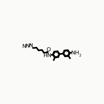 Cc1cc(-c2ccc(NC(=O)CCCCCN=[N+]=[N-])c(C)c2)ccc1N